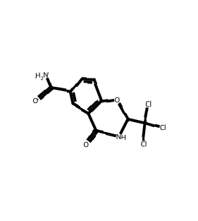 NC(=O)c1ccc2c(c1)C(=O)NC(C(Cl)(Cl)Cl)O2